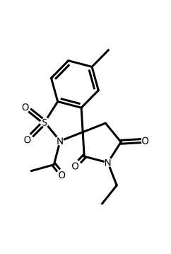 CCN1C(=O)CC2(C1=O)c1cc(C)ccc1S(=O)(=O)N2C(C)=O